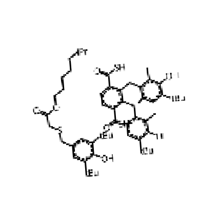 CC(C)CCCCCOC(=O)CSCc1cc(C(C)(C)C)c(O)c(C(C)(C)C)c1.Cc1cc(C(C)(C)C)c(O)c(C)c1Cc1c(C(=O)S)ccc(C(=O)S)c1Cc1c(C)cc(C(C)(C)C)c(O)c1C